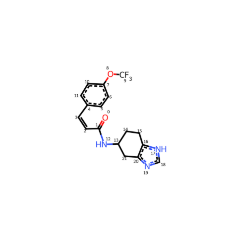 O=C(/C=C\c1ccc(OC(F)(F)F)cc1)NC1CCc2[nH]cnc2C1